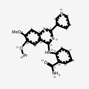 COc1cc2nc(-c3cccnc3)nc(Nc3ccccc3C(N)=O)c2cc1OC(C)C